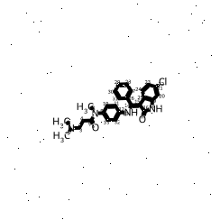 CN(C)CCC(=O)N(C)c1ccc(N/C(=C2\C(=O)Nc3cc(Cl)ccc32)c2ccccc2)cc1